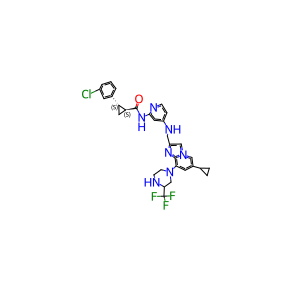 O=C(Nc1cc(NCc2cn3cc(C4CC4)cc(N4CCNC(C(F)(F)F)C4)c3n2)ccn1)[C@H]1C[C@@H]1c1cccc(Cl)c1